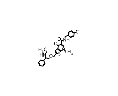 CCNC(COCc1cc2c(=O)c(C(=O)NCc3ccc(Cl)cc3)cn(C)c2s1)c1ccccc1